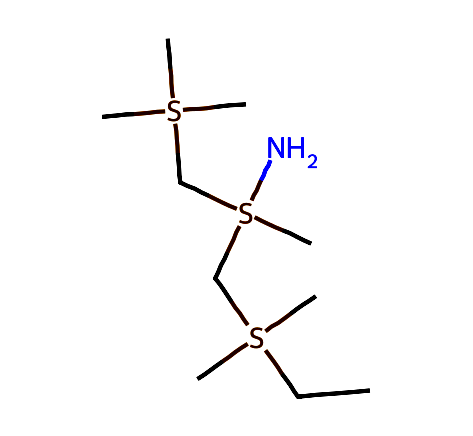 CCS(C)(C)CS(C)(N)CS(C)(C)C